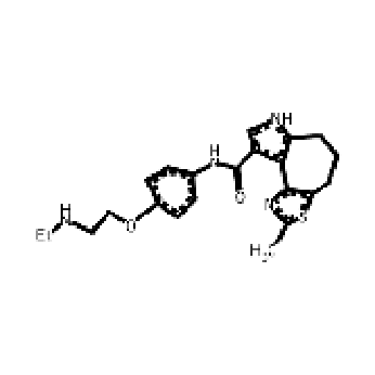 CCNCCOc1ccc(NC(=O)c2c[nH]c3c2-c2nc(C)sc2CCC3)cc1